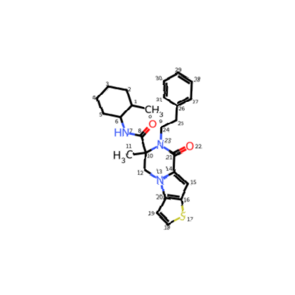 CC1CCCCC1NC(=O)C1(C)Cn2c(cc3sccc32)C(=O)N1CCc1ccccc1